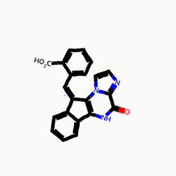 O=C(O)c1ccccc1/C=c1/c2ccccc2c2[nH]c(=O)c3nccn3c12